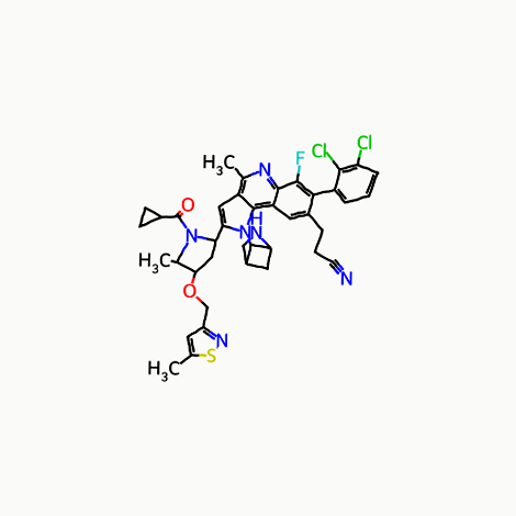 Cc1cc(COC2CC(c3cc4c(C)nc5c(F)c(-c6cccc(Cl)c6Cl)c(CCC#N)cc5c4n3C3C4CNC3C4)N(C(=O)C3CC3)C2C)ns1